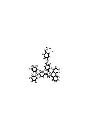 C=Cc1ccc(COc2ccc(-n3c(-c4ccc(N(c5ccccc5)c5ccccc5)cc4)nc4c5ccccc5c5ccccc5c43)cc2)cc1